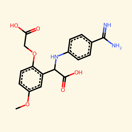 COc1ccc(OCC(=O)O)c(C(Nc2ccc(C(=N)N)cc2)C(=O)O)c1